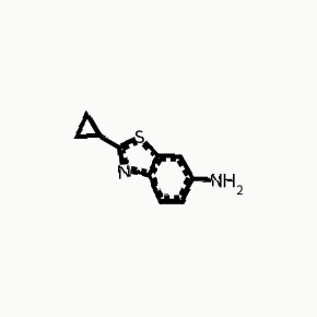 Nc1ccc2nc(C3CC3)sc2c1